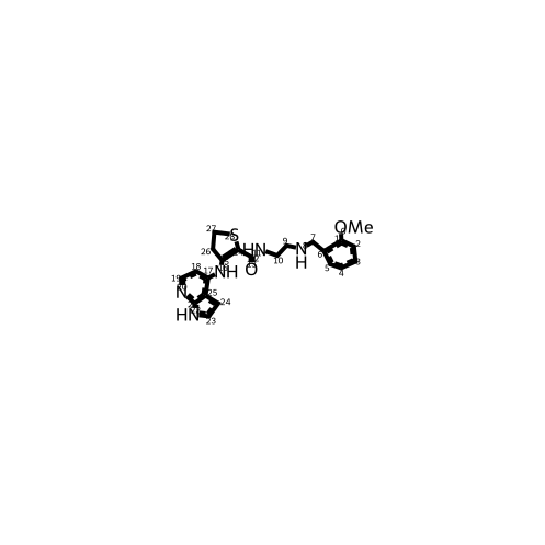 COc1ccccc1CNCCNC(=O)C1=C(Nc2ccnc3[nH]ccc23)CCS1